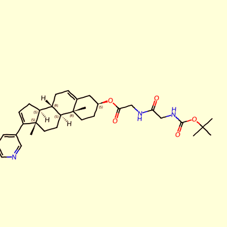 CC(C)(C)OC(=O)NCC(=O)NCC(=O)O[C@H]1CC[C@@]2(C)C(=CC[C@@H]3[C@@H]2CC[C@]2(C)C(c4cccnc4)=CC[C@@H]32)C1